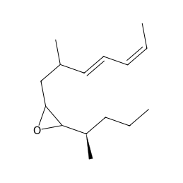 C/C=C\C=C\C(C)CC1OC1[C@H](C)CCC